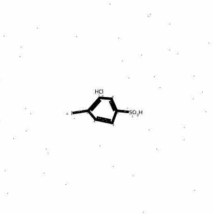 Cl.O=S(=O)(O)c1ccc(I)cc1